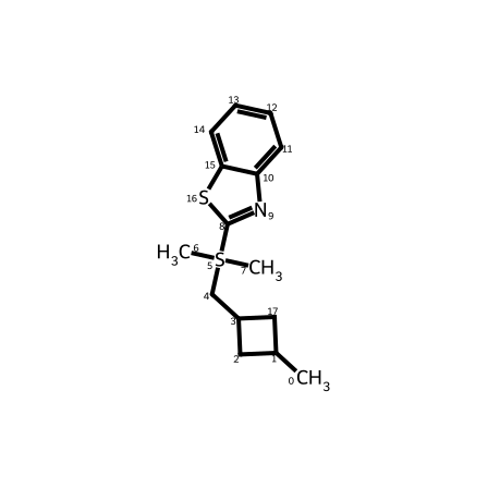 CC1CC(CS(C)(C)c2nc3ccccc3s2)C1